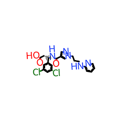 O=C(O)C[C@H](NC(=O)c1cnn(CCCNc2ccccn2)c1)c1cc(Cl)cc(Cl)c1